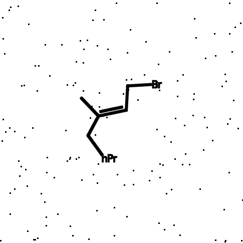 CCCCC(C)=CCBr